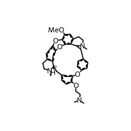 COc1cc2c3c4c1Oc1cc5c(cc1O4)[C@H](Cc1ccc(OCCN(C)C)c(c1)Oc1ccc(cc1)CC3N(C)CC2)N(C)CC5